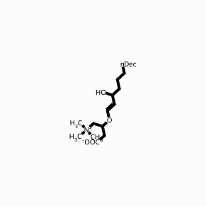 CCCCCCCCCCCCCC(O)C=COC(CC(=O)[O-])C[N+](C)(C)C